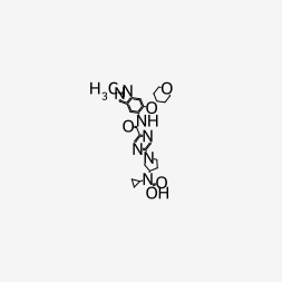 Cn1cc2cc(NC(=O)c3cnc(N4CC[C@@H](N(C(=O)O)C5CC5)C4)cn3)c(OC3CCOCC3)cc2n1